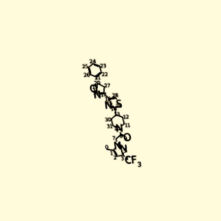 Cc1cc(C(F)(F)F)nn1CC(=O)N1CCC(c2nc(C3=NO[C@H](c4ccccc4)C3)cs2)CC1